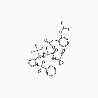 N#CC1(NC(=O)[C@H](CS(=O)(=O)Cc2ccccc2OC(F)F)N[C@@H](c2cccn2S(=O)(=O)c2ccccc2)C(F)(F)F)CC1